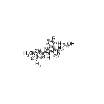 CN(C)C(=O)C1(C)COC(c2nc(-c3ccc(F)cc3)c(-c3ccnc(NCCCO)n3)[nH]2)OC1